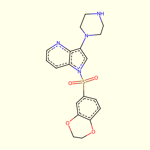 O=S(=O)(c1ccc2c(c1)OCCO2)n1cc(N2CCNCC2)c2ncccc21